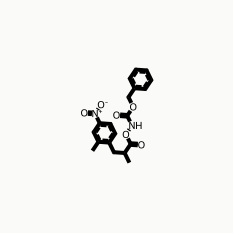 Cc1cc([N+](=O)[O-])ccc1CC(C)C(=O)ONC(=O)OCc1ccccc1